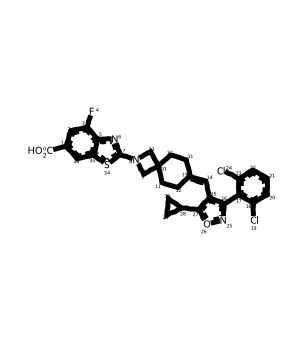 O=C(O)c1cc(F)c2nc(N3CC4(CCC(=Cc5c(-c6c(Cl)cccc6Cl)noc5C5CC5)CC4)C3)sc2c1